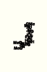 COC(=S)NC[C@H]1CN(c2cc(F)c(N3CCNN(C(=O)NCc4nc(OC)cc(OC)n4)CC3)c(F)c2)C(=O)O1